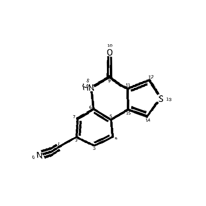 N#Cc1ccc2c(c1)[nH]c(=O)c1cscc12